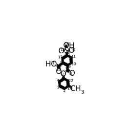 Cc1cccc(OC(=O)c2ccc(S(=O)(=O)O)cc2C(=O)O)c1